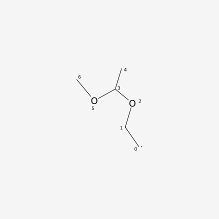 [CH2]COC(C)OC